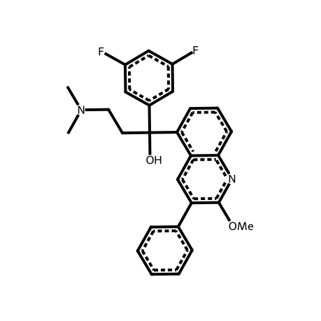 COc1nc2cccc(C(O)(CCN(C)C)c3cc(F)cc(F)c3)c2cc1-c1ccccc1